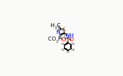 Cc1nc(C(=O)O)c(NS(=O)(=O)c2ccccc2)s1